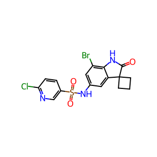 O=C1Nc2c(Br)cc(NS(=O)(=O)c3ccc(Cl)nc3)cc2C12CCC2